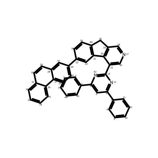 c1ccc(-c2cc(-c3ccccc3)nc(-c3cncc4c3-c3cc(-c5ccc6c(ccc7ccccc76)c5)ccc3C4)n2)cc1